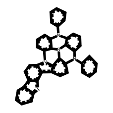 c1ccc(N2c3cccc4c3B3c5c2cccc5-n2c5ccc6c7ccccc7sc6c5c5ccc(c3c52)N4c2ccccc2)cc1